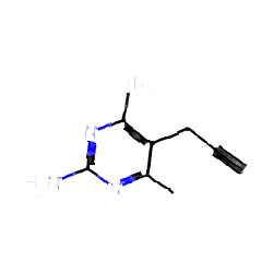 C#CCc1c(C)nc(N)nc1C(C)(C)C